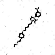 CCO/N=C/c1ccc(OCCCCCN2CCN(c3ccnc(N(C)C)c3)S2(=O)=O)cc1